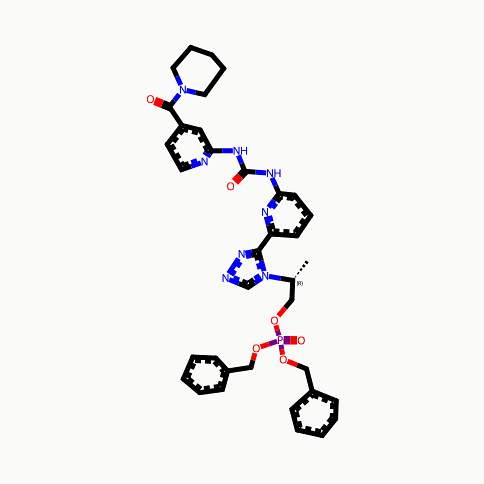 C[C@H](COP(=O)(OCc1ccccc1)OCc1ccccc1)n1cnnc1-c1cccc(NC(=O)Nc2cc(C(=O)N3CCCCC3)ccn2)n1